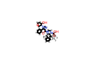 CC(C)(C)C1[C@@H](Cc2ccccc2)N(C(=O)c2ncn([C@@H]3COCC[C@H]3O)c2-c2ccccc2)CCN1C(=O)O